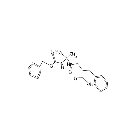 CC(O)(NC(=O)OCc1ccccc1)[PH](=O)CC(Cc1ccccc1)C(=O)O